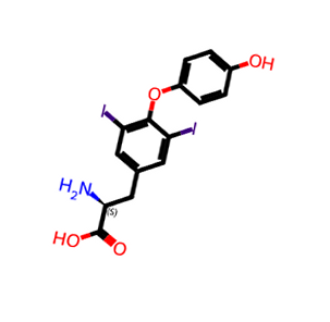 N[C@@H](Cc1cc(I)c(Oc2ccc(O)cc2)c(I)c1)C(=O)O